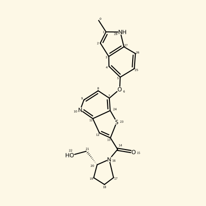 Cc1cc2cc(Oc3ccnc4cc(C(=O)N5CCC[C@@H]5CO)sc34)ccc2[nH]1